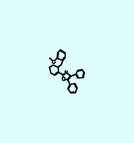 COc1ccccc1CC1CCCC=C1c1nc(-c2ccccc2)c(-c2ccccc2)o1